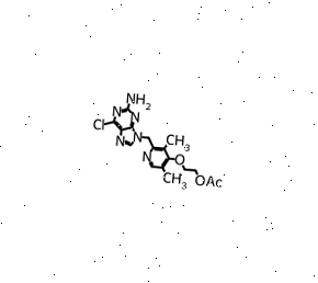 CC(=O)OCCOc1c(C)cnc(Cn2cnc3c(Cl)nc(N)nc32)c1C